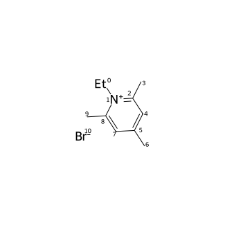 CC[n+]1c(C)cc(C)cc1C.[Br-]